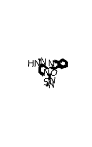 O=C(c1nncs1)N1CCc2[nH]cnc2[C@H]1c1cc2ccccc2cn1